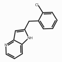 Clc1ccccc1Cc1cc2ncccc2[nH]1